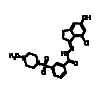 CN1CCN(S(=O)(=O)c2cccc(C(=O)N/N=C3\CCc4cc(O)cc(Cl)c43)c2)CC1